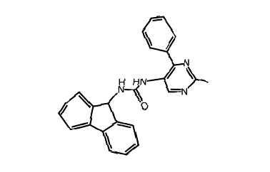 Cc1ncc(NC(=O)NC2c3ccccc3-c3ccccc32)c(-c2ccccc2)n1